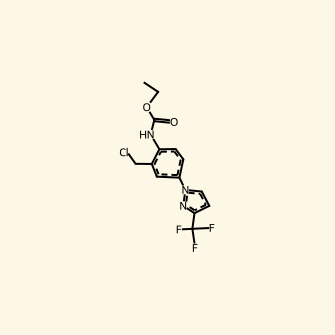 CCOC(=O)Nc1ccc(-n2ccc(C(F)(F)F)n2)cc1CCl